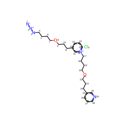 [Cl-].[N-]=[N+]=NCCCCOCCCc1ccc[n+](CCCCOCCCc2cccnc2)c1